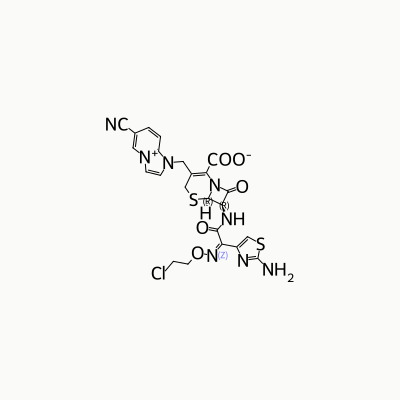 N#Cc1ccc2n(CC3=C(C(=O)[O-])N4C(=O)[C@@H](NC(=O)/C(=N\OCCCl)c5csc(N)n5)[C@H]4SC3)cc[n+]2c1